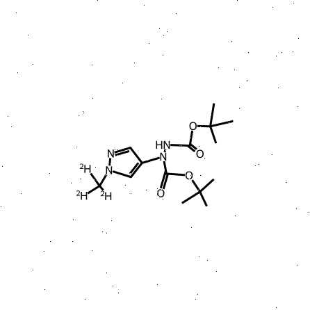 [2H]C([2H])([2H])n1cc(N(NC(=O)OC(C)(C)C)C(=O)OC(C)(C)C)cn1